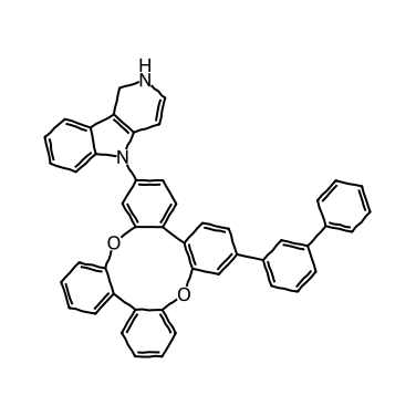 C1=Cc2c(c3ccccc3n2-c2ccc3c(c2)Oc2ccccc2-c2ccccc2Oc2cc(-c4cccc(-c5ccccc5)c4)ccc2-3)CN1